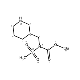 CC(C)(C)OC(=O)N(CC1CCCNC1)S(C)(=O)=O